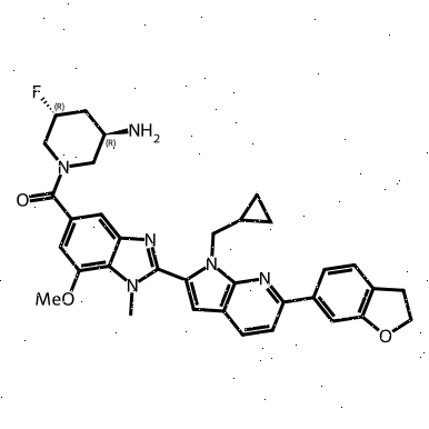 COc1cc(C(=O)N2C[C@H](N)C[C@@H](F)C2)cc2nc(-c3cc4ccc(-c5ccc6c(c5)OCC6)nc4n3CC3CC3)n(C)c12